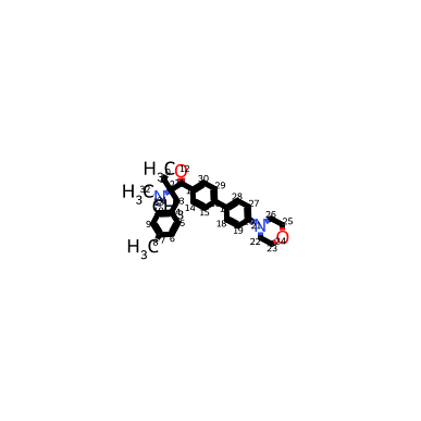 CCC(Cc1ccc(C)cc1)(C(=O)c1ccc(-c2ccc(N3CCOCC3)cc2)cc1)N(C)C